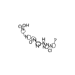 O=C(O)N1CCC(CN2CCC3(CC2)CCN(c2cncc(Nc4ncc(Cl)c(N5CCCC(C6CC6)C5)n4)c2)C3=O)CC1